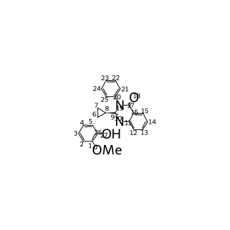 COc1cccc([C@@H]2C[C@H]2c2nc3ccccc3c(=O)n2-c2ccccc2)c1O